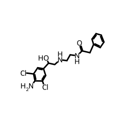 Nc1c(Cl)cc(C(O)CNCCNC(=O)Cc2ccccc2)cc1Cl